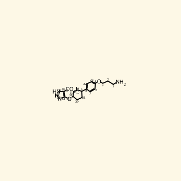 NCCCOc1ccc(C2CCC(Oc3nn[nH]c3C(=O)O)CC2)cc1